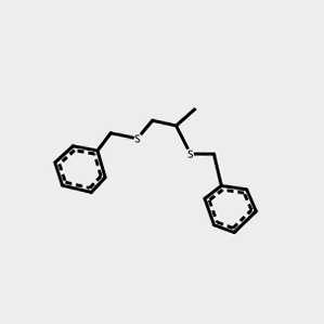 CC(CSCc1ccccc1)SCc1ccccc1